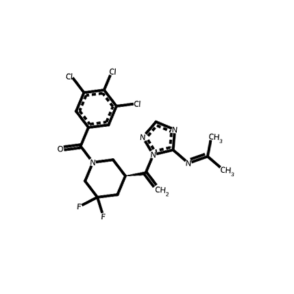 C=C([C@@H]1CN(C(=O)c2cc(Cl)c(Cl)c(Cl)c2)CC(F)(F)C1)n1ncnc1N=C(C)C